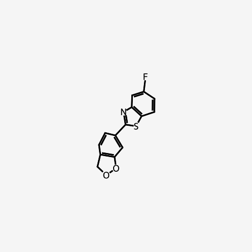 Fc1ccc2sc(-c3ccc4c(c3)OOC4)nc2c1